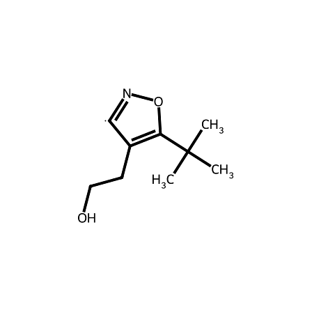 CC(C)(C)c1on[c]c1CCO